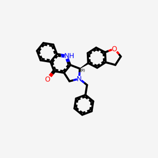 O=c1c2c([nH]c3ccccc13)[C@@H](c1ccc3c(c1)CCO3)N(Cc1ccccc1)C2